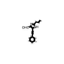 C=CCc1nc(C=O)c(C#Cc2ccccc2)[nH]1